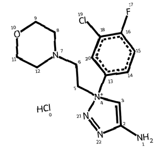 Cl.NC1=C[N+](CCN2CCOCC2)(c2ccc(F)c(Cl)c2)N=N1